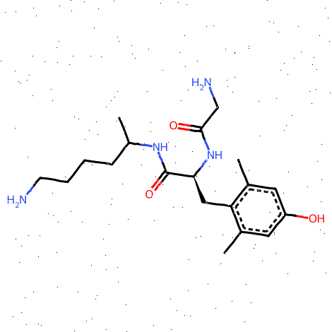 Cc1cc(O)cc(C)c1C[C@H](NC(=O)CN)C(=O)NC(C)CCCCN